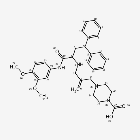 C=C(CNC(CC(c1ccccc1)c1ccccc1)C(=O)Nc1ccc(OC)c(OC)c1)CN1CCN(C(=O)O)CC1